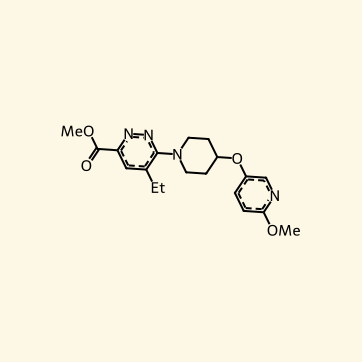 CCc1cc(C(=O)OC)nnc1N1CCC(Oc2ccc(OC)nc2)CC1